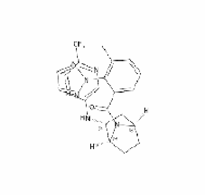 Cc1cccc(C(=O)N2[C@@H]3CC[C@H]2[C@H](Nc2cnc(C(F)(F)F)cn2)C3)c1-n1nccn1